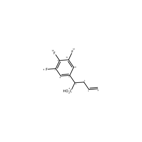 C=CCC(C(=O)O)c1cc(F)c(F)c(F)c1